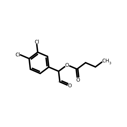 CCCC(=O)OC([C]=O)c1ccc(Cl)c(Cl)c1